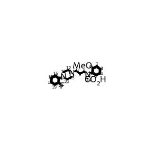 COc1ccccc1N(CCCN1CCN(c2ccccc2F)CC1)C(=O)O